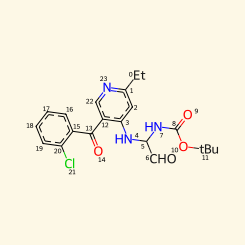 CCc1cc(NC(C=O)NC(=O)OC(C)(C)C)c(C(=O)c2ccccc2Cl)cn1